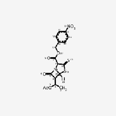 CC(=O)OC(C)C1C(=O)N2C(C(=O)OCc3ccc([N+](=O)[O-])cc3)C(=S)S[C@H]12